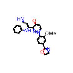 COc1cc(-c2ncco2)ccc1-n1ccc(=O)c(/C(=C/C=N)Nc2ccccc2)n1